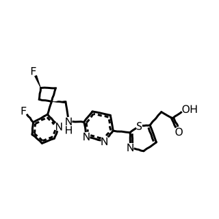 O=C(O)CC1=CCN=C(c2ccc(NC[C@]3(c4ncccc4F)C[C@H](F)C3)nn2)S1